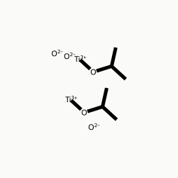 CC(C)[O][Ti+3].CC(C)[O][Ti+3].[O-2].[O-2].[O-2]